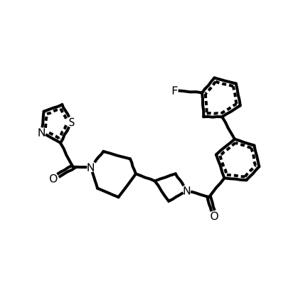 O=C(c1cccc(-c2cccc(F)c2)c1)N1CC(C2CCN(C(=O)c3nccs3)CC2)C1